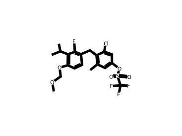 COCOc1ccc(Cc2c(C)cc(OS(=O)(=O)C(F)(F)F)cc2Cl)c(F)c1C(C)C